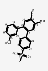 CS(=O)(=O)c1ccc(-c2cc(F)c(F)cc2-c2cccc(Cl)c2)cc1